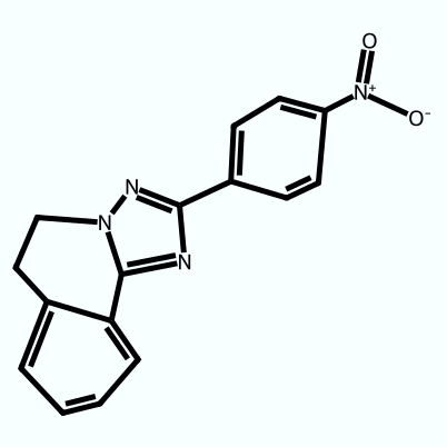 O=[N+]([O-])c1ccc(-c2nc3n(n2)CCc2ccccc2-3)cc1